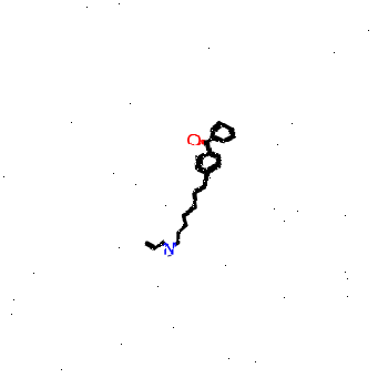 C=CCN(C)CCCCCCCc1ccc(C(=O)c2ccccc2)cc1